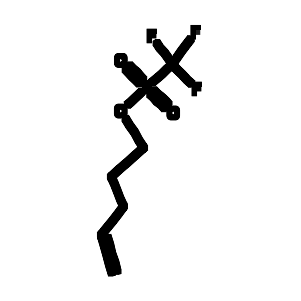 C=CCCCOS(=O)(=O)C(F)(F)F